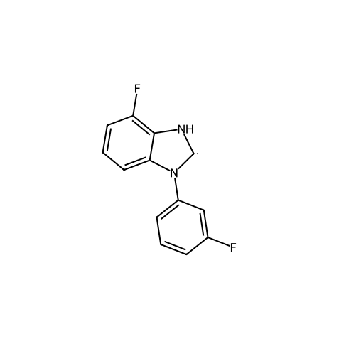 Fc1cccc(N2[CH]Nc3c(F)cccc32)c1